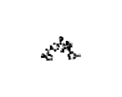 CC(N1CCN(C(=O)n2nnn(-c3cccc(F)c3)c2=O)CC1)N1CCCC1=O